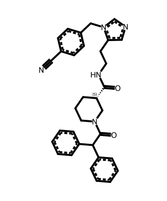 N#Cc1ccc(Cn2cncc2CCNC(=O)[C@H]2CCCN(C(=O)C(c3ccccc3)c3ccccc3)C2)cc1